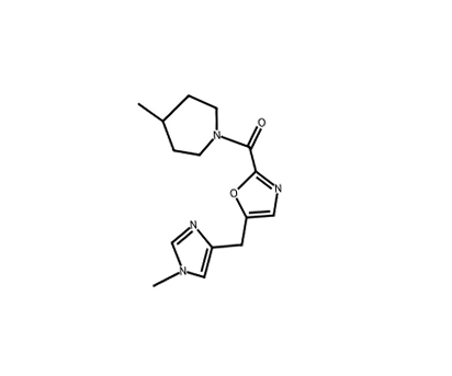 CC1CCN(C(=O)c2ncc(Cc3cn(C)cn3)o2)CC1